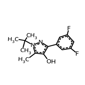 Cc1c(O)c(-c2cc(F)cc(F)c2)nn1C(C)(C)C